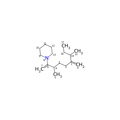 C=C(CCC(C)C(=C)N1CCCCC1)C(C)CC